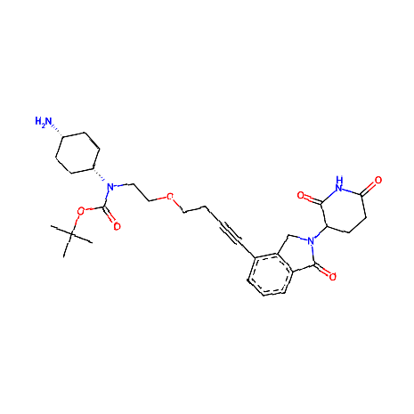 CC(C)(C)OC(=O)N(CCOCCC#Cc1cccc2c1CN(C1CCC(=O)NC1=O)C2=O)[C@H]1CC[C@@H](N)CC1